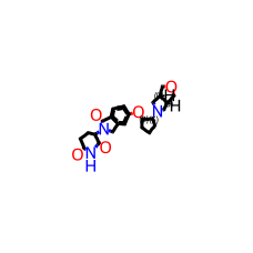 O=C1CCC(N2Cc3cc(O[C@@H]4CCC[C@@H]4N4C[C@H]5COC[C@H]5C4)ccc3C2=O)C(=O)N1